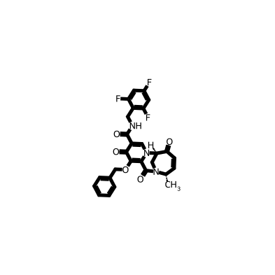 C[C@H]1C=CC(=O)[C@H]2CN1C(=O)c1c(OCc3ccccc3)c(=O)c(C(=O)NCc3c(F)cc(F)cc3F)cn12